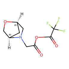 O=C(CN1C[C@H]2C[C@@H]1CO2)OC(=O)C(F)(F)F